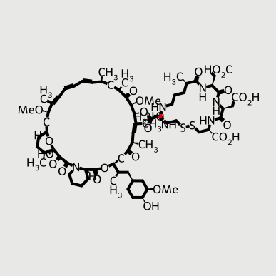 CO[C@H]1C[C@@H]2CC[C@@H](C)[C@@](O)(O2)C(=O)C(=O)N2CCCC[C@H]2C(=O)O[C@H]([C@H](C)C[C@@H]2CC[C@@H](O)[C@H](OC)C2)CC(=O)[C@H](C)/C=C(\C)[C@@H](OC(=O)OCCSSC[C@H](NC(=O)[C@H](CC(=O)O)NC(=O)[C@H](CC(=O)O)NC(=O)[C@@H](C)CCCNC(=N)N)C(=O)O)[C@@H](OC)C(=O)[C@H](C)C[C@H](C)/C=C/C=C/C=C/1C